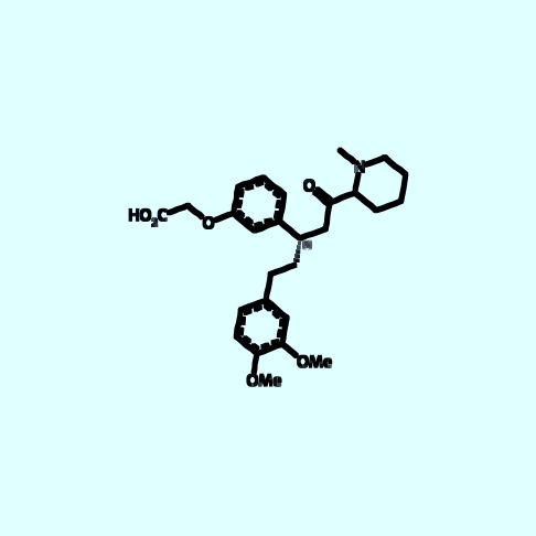 COc1ccc(CC[C@@H](CC(=O)C2CCCCN2C)c2cccc(OCC(=O)O)c2)cc1OC